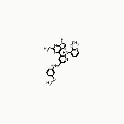 COc1cccc(NCc2cnc(Nc3cccnc3OC)c(-c3nc(C)nc4[nH]cnc34)c2)c1